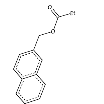 CCC(=O)OCc1ccc2ccccc2c1